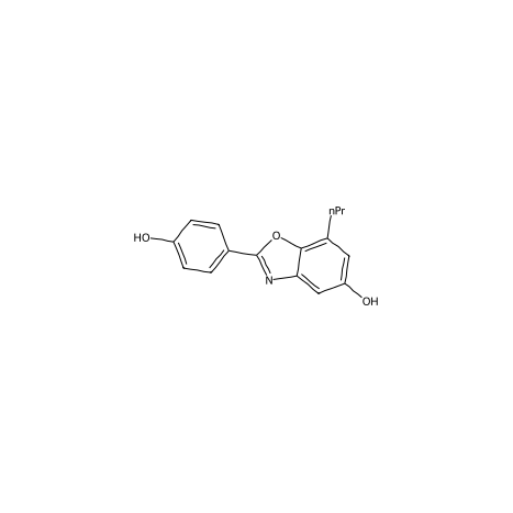 CCCc1cc(O)cc2nc(-c3ccc(O)cc3)oc12